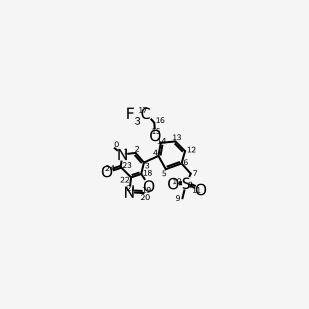 Cn1cc(-c2cc(CS(C)(=O)=O)ccc2OCC(F)(F)F)c2ocnc2c1=O